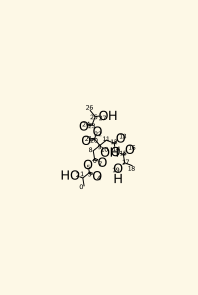 CC(O)C(=O)OC(=O)CC(O)(CC(=O)OC(=O)C(C)O)C(=O)OC(=O)C(C)O